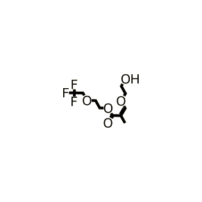 CC(=COCCO)C(=O)OCCOCC(F)(F)F